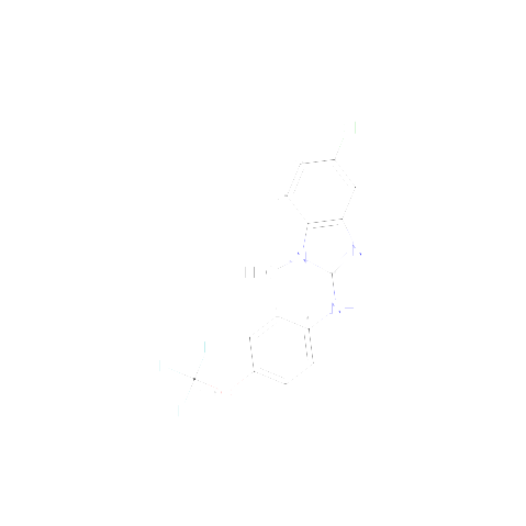 Cn1c(Nc2ccc(OC(F)(F)F)cc2)nc2cc(Cl)ccc21